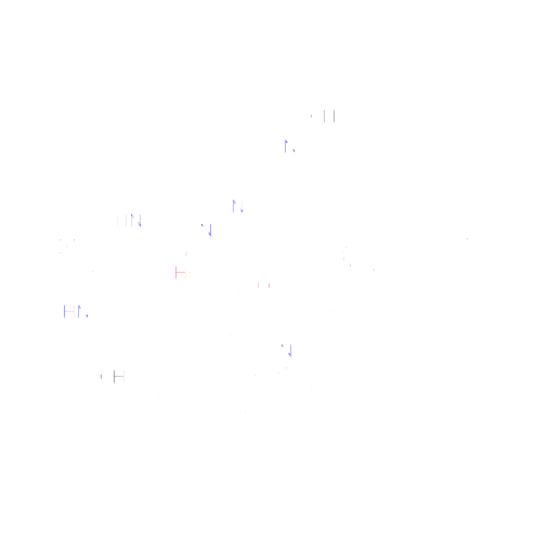 Cc1[nH]c(=O)c(Nc2cc3n(n2)CCN(C)C3)cc1-c1cccc(N2CCc3c(sc4c3CCCC4)C2=O)c1CO